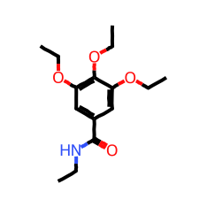 CCNC(=O)c1cc(OCC)c(OCC)c(OCC)c1